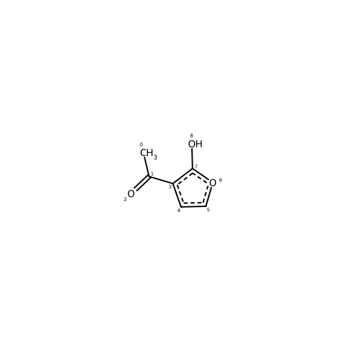 CC(=O)c1ccoc1O